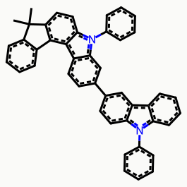 CC1(C)c2ccccc2-c2c1ccc1c2c2ccc(-c3ccc4c(c3)c3ccccc3n4-c3ccccc3)cc2n1-c1ccccc1